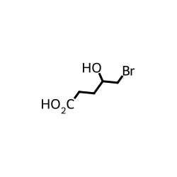 O=C(O)CCC(O)CBr